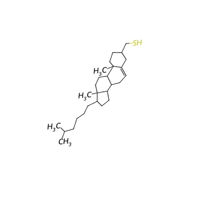 CC(C)CCCCC1CCC2C3CC=C4CC(CS)CCC4(C)C3CCC12C